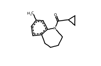 Cc1ccc2c(c1)N(C(=O)C1CC1)CCCC2